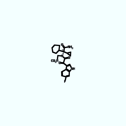 NC(=O)[C@](C1CCCCC1)(C1CC1)N(CC(=O)O)C(=O)C(=O)c1c[nH]c2cc(F)ccc12